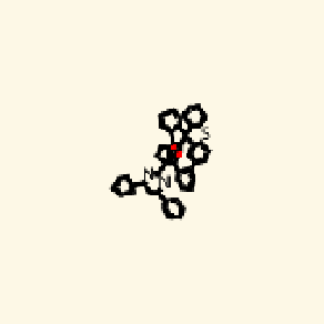 c1ccc(-c2cc(-c3ccccc3)nc(-c3ccccc3-c3ccccc3-c3ccc4c(c3)C3(c5ccccc5S4)c4ccccc4-c4ccccc43)n2)cc1